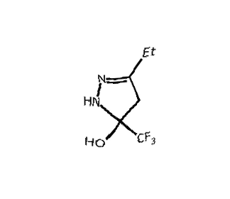 CCC1=NNC(O)(C(F)(F)F)C1